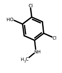 CNc1cc(O)c(Cl)cc1Cl